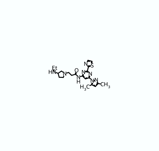 CCNC1CCN(CCC(=O)Nc2cc(-n3nc(C)cc3C)nc(-c3nccs3)n2)C1